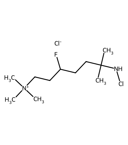 CC(C)(CCC(F)CC[N+](C)(C)C)NCl.[Cl-]